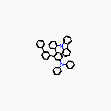 c1ccc(-c2cccc(-c3cc(N(c4ccccc4)c4ccccc4)ccc3-c3ccccc3-n3c4ccccc4c4ccccc43)c2)cc1